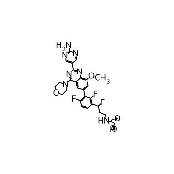 COc1cc(-c2c(F)ccc(C(F)CCN[SH](=O)=O)c2F)cc2c(N3CCOCC3)nc(-c3cnc(N)nc3)nc12